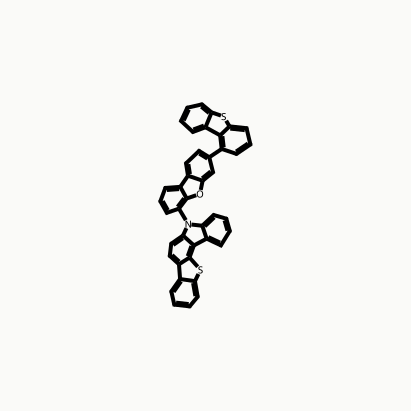 c1ccc2c(c1)sc1c2ccc2c1c1ccccc1n2-c1cccc2c1oc1cc(-c3cccc4sc5ccccc5c34)ccc12